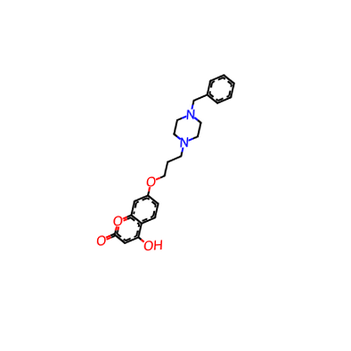 O=c1cc(O)c2ccc(OCCCN3CCN(Cc4ccccc4)CC3)cc2o1